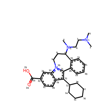 CN(C)CCN(C)C1CCn2c(c(C3CCCCC3)c3ccc(C(=O)O)cc32)-c2ccccc21